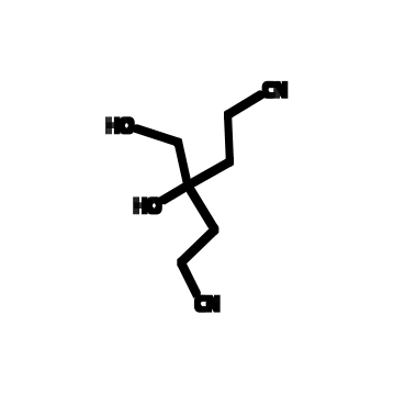 N#CCCC(O)(CO)CCC#N